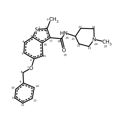 Cc1sc2ccc(OCc3ccccc3)cc2c1C(=O)NC1CCN(C)CC1